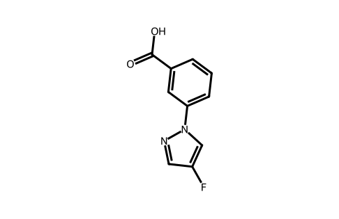 O=C(O)c1cccc(-n2cc(F)cn2)c1